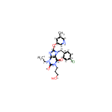 CCn1c(=O)n(CCCO)c(=O)c2c1nc(Oc1cncc(C)c1)n2Cc1ccc(Cl)cc1